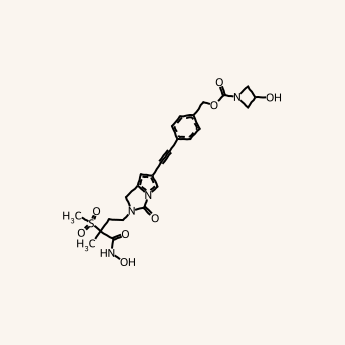 CC(CCN1Cc2cc(C#Cc3ccc(COC(=O)N4CC(O)C4)cc3)cn2C1=O)(C(=O)NO)S(C)(=O)=O